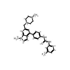 CN1CCN(Cc2cc(-c3ccc(NC(=O)Nc4cc(C(F)(F)F)ccn4)cc3)c3cnn(C)c3n2)CC1